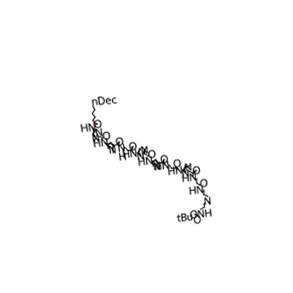 CCCCCCCCCCCCCCCC(=O)Nc1cn(C)c(C(=O)Nc2cc(C(=O)NCCC(=O)Nc3cn(C)c(C(=O)Nc4cc(C(=O)NCCC(=O)Nc5cn(C)c(C(=O)NCCC(=O)NCCCN(C)CCCNC(=O)OC(C)(C)C)n5)n(C)c4)n3)n(C)c2)n1